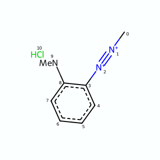 C[N+]#[N+]c1ccccc1NC.Cl